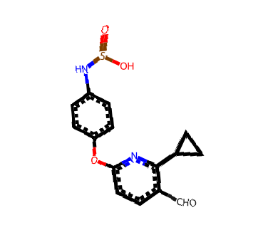 O=Cc1ccc(Oc2ccc(NS(=O)O)cc2)nc1C1CC1